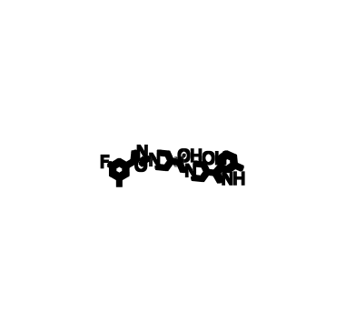 Cc1cc(F)cc(-c2cnc(N3CCC([C@H](O)CN4CCC(c5c[nH]c6c(C)cccc56)C(O)C4)CC3)o2)c1